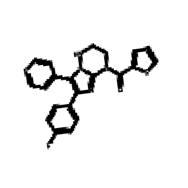 O=C(c1cccs1)N1CCNn2c1nc(-c1ccc(F)cc1)c2-c1ccncc1